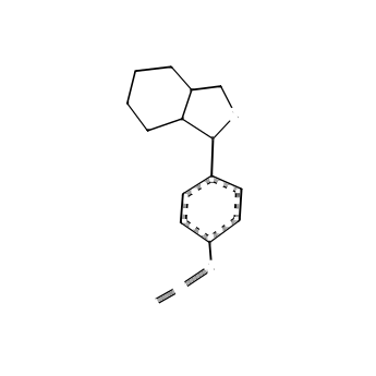 S=C=Nc1ccc(C2NCC3CCCCC32)cc1